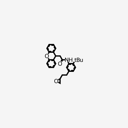 CC(C)(C)c1ccc(CCC2CO2)cc1NC(=O)CC1c2ccccc2Oc2ccccc21